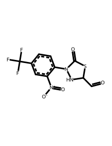 O=CC1NN(c2ccc(C(F)(F)F)cc2[N+](=O)[O-])C(=O)S1